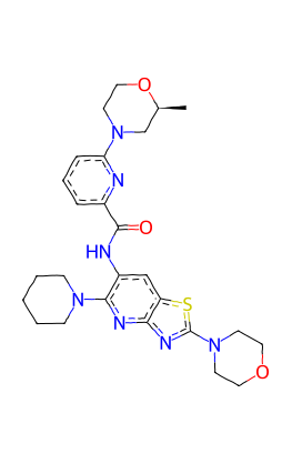 C[C@H]1CN(c2cccc(C(=O)Nc3cc4sc(N5CCOCC5)nc4nc3N3CCCCC3)n2)CCO1